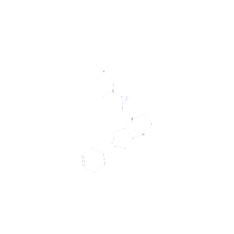 CC(C)(C)OC(=O)NCC12C=CC(O1)C1CN(c3ccccc3)CC12